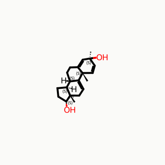 C[C@]1(O)C=C[C@@]2(C)C(=C1)CC[C@@H]1C2=CC[C@]2(C)[C@@H](O)CC[C@@H]12